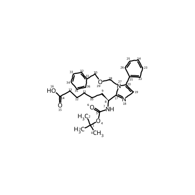 CC(C)(C)OC(=O)N[C@@H](CCCCCC(=O)O)c1ncc(-c2ccccc2)n1COCc1ccccc1